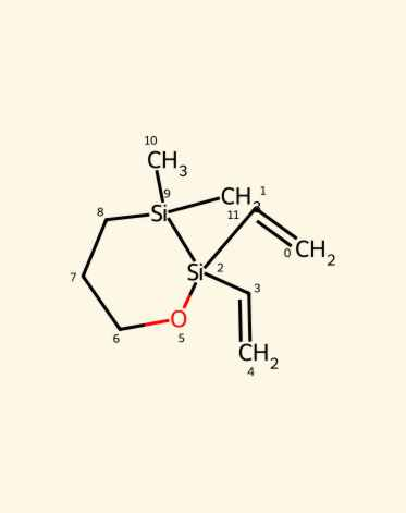 C=C[Si]1(C=C)OCCC[Si]1(C)C